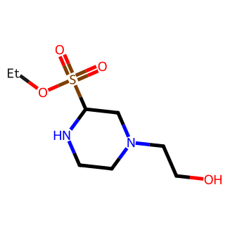 CCOS(=O)(=O)C1CN(CCO)CCN1